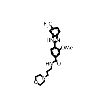 COc1cc(C(=O)NCCCN2CCOCC2)ccc1-c1nc2ccc(C(F)(F)F)cc2[nH]1